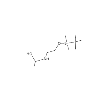 CC(O)NCCO[Si](C)(C)C(C)(C)C